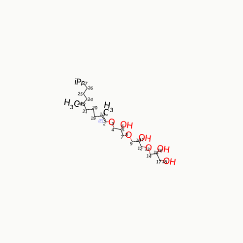 C/C(=C\OCC(O)COCC(O)COCC(O)CO)CCCC(C)CCCC(C)C